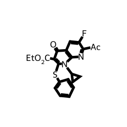 CCOC(=O)c1c(Sc2ccccc2)n(C2CC2)c2nc(C(C)=O)c(F)cc2c1=O